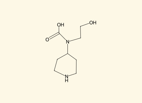 O=C(O)N(CCO)C1CCNCC1